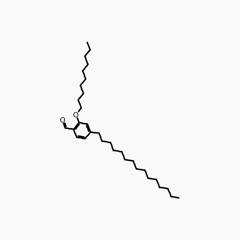 CCCCCCCCCCCCCCCc1ccc(C=O)c(OCCCCCCCCCC)c1